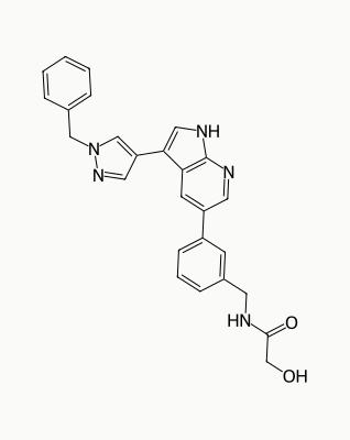 O=C(CO)NCc1cccc(-c2cnc3[nH]cc(-c4cnn(Cc5ccccc5)c4)c3c2)c1